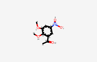 COc1cc([N+](=O)[O-])cc(C(C)=O)c1OC